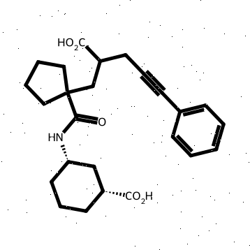 O=C(O)C(CC#Cc1ccccc1)CC1(C(=O)N[C@H]2CCC[C@@H](C(=O)O)C2)CCCC1